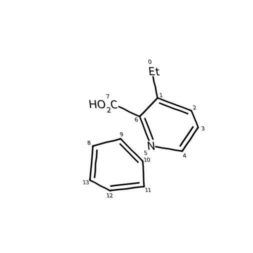 CCc1cccnc1C(=O)O.c1ccccc1